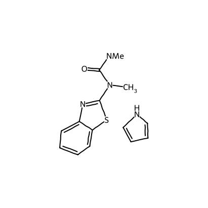 CNC(=O)N(C)c1nc2ccccc2s1.c1cc[nH]c1